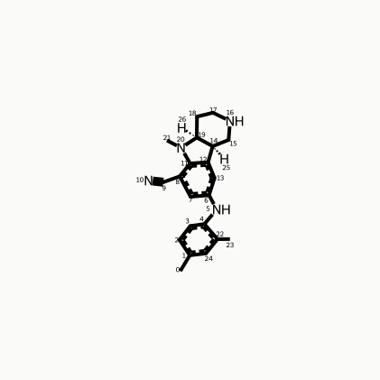 Cc1ccc(Nc2cc(C#N)c3c(c2)[C@@H]2CNCC[C@@H]2N3C)c(C)c1